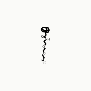 CCOCCOCCOCCNC(=O)CC12CC3CC(CC(C3)C1)C2